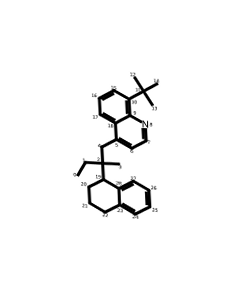 CCC(C)(Cc1ccnc2c(C(C)(C)C)cccc12)C1CCCc2ccccc21